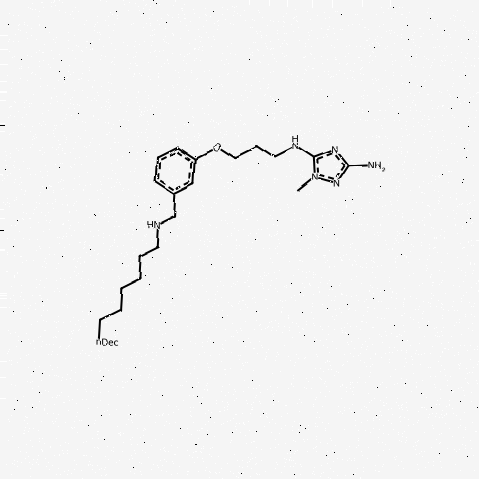 CCCCCCCCCCCCCCCCNCc1cccc(OCCCNc2nc(N)nn2C)c1